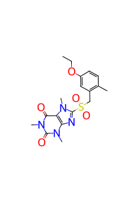 CCOc1ccc(C)c(CS(=O)(=O)c2nc3c(c(=O)n(C)c(=O)n3C)n2C)c1